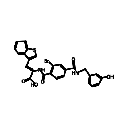 O=C(O)C(=Cc1csc2ccccc12)NC(=O)c1ccc(C(=O)NCc2cccc(O)c2)cc1Br